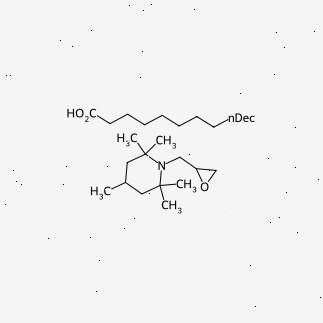 CC1CC(C)(C)N(CC2CO2)C(C)(C)C1.CCCCCCCCCCCCCCCCCC(=O)O